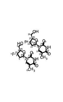 Cc1cn([C@H]2C[C@H](F)[C@@H](CO)O2)c(=O)[nH]c1=O.Cc1cn([C@H]2C[C@H](F)[C@@H](CO)O2)c(=O)[nH]c1=O